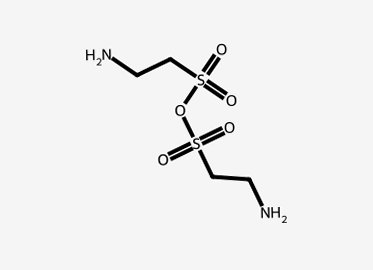 NCCS(=O)(=O)OS(=O)(=O)CCN